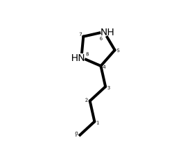 [CH2]CCCC1CNCN1